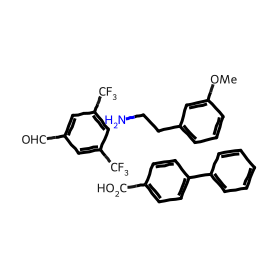 COc1cccc(CCN)c1.O=C(O)c1ccc(-c2ccccc2)cc1.O=Cc1cc(C(F)(F)F)cc(C(F)(F)F)c1